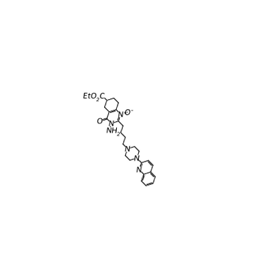 CCOC(=O)C1CCc2c(c(=O)n(N)c(CCCCN3CCN(c4ccc5ccccc5n4)CC3)[n+]2[O-])C1